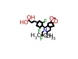 CC1Cc2cc3c(cc2C(c2c(F)cc(/C=C/C(O)O)cc2F)N1CC(C)(C)F)OCO3